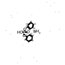 N.O=P(O)(Oc1ccccc1)Oc1ccccc1